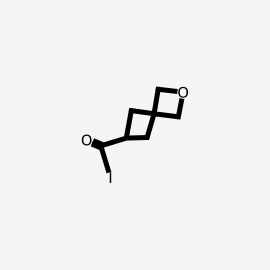 O=C(I)C1CC2(COC2)C1